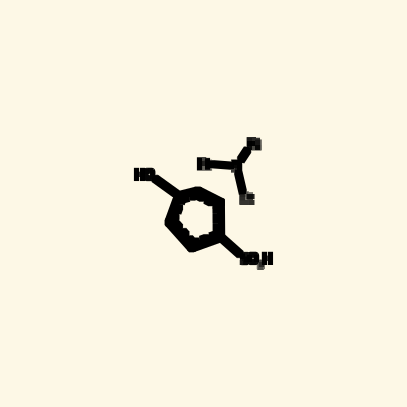 CCN(CC)CC.O=S(=O)(O)c1ccc(O)cc1